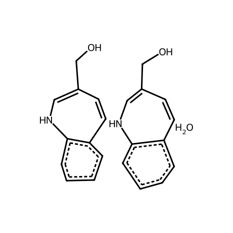 O.OCC1=CNc2ccccc2C=C1.OCC1=CNc2ccccc2C=C1